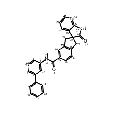 O=C(Nc1cncc(-c2ccccc2)c1)c1ccc2c(c1)CC1(C2)C(=O)Nc2ncccc21